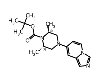 C[C@H]1CN(c2ccn3cncc3c2)C[C@H](C)N1C(=O)OC(C)(C)C